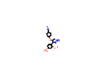 N#Cc1ccc(Oc2c[nH]nc2-c2ccc(O)cc2O)cc1